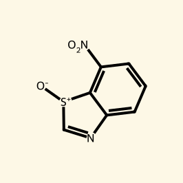 O=[N+]([O-])c1cccc2nc[s+]([O-])c12